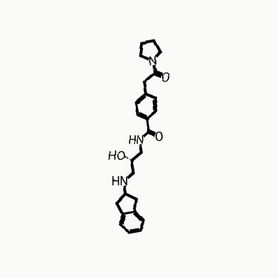 O=C(NC[C@@H](O)CNC1Cc2ccccc2C1)c1ccc(CC(=O)N2CCCC2)cc1